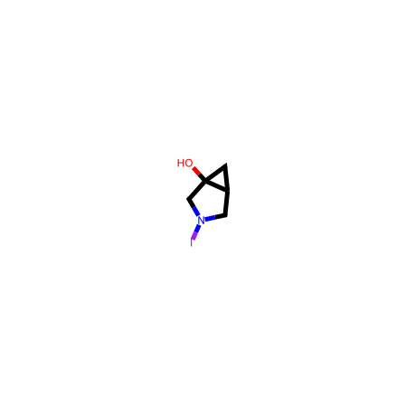 OC12CC1CN(I)C2